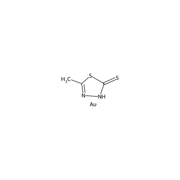 Cc1n[nH]c(=S)s1.[Au]